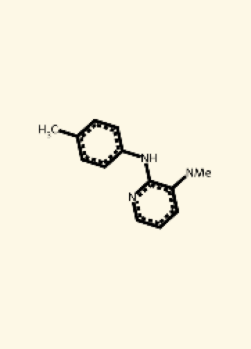 CNc1cccnc1Nc1ccc(C)cc1